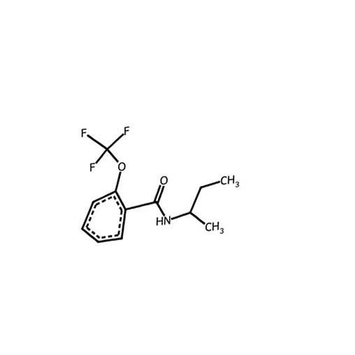 CCC(C)NC(=O)c1ccccc1OC(F)(F)F